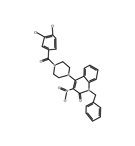 O=C(c1ccc(Cl)c(Cl)c1)N1CCN(c2c([N+](=O)[O-])c(=O)n(Cc3ccccc3)c3ccccc23)CC1